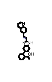 C=C(O)c1ccccc1-c1ccc2[nH]c(/C=C/c3ccc4ncccc4c3)nc2c1